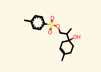 CC1=CCC(O)(C(C)COS(=O)(=O)c2ccc(C)cc2)CC1